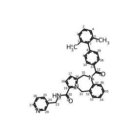 Cc1cccc(C)c1-c1ccc(C(=O)N2Cc3ccc(C(=O)NCc4cccnc4)n3Cc3ccccc32)cc1